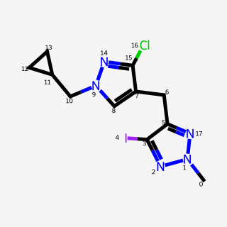 Cn1nc(I)c(Cc2cn(CC3CC3)nc2Cl)n1